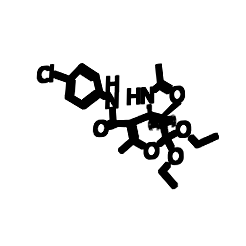 CCOC1(OCC)OC(C)=C(C(=O)Nc2ccc(Cl)cc2)[C@H](NC(C)=O)[C@H]1C